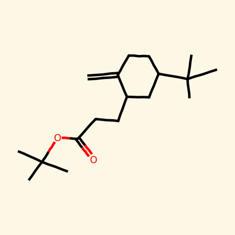 C=C1CCC(C(C)(C)C)CC1CCC(=O)OC(C)(C)C